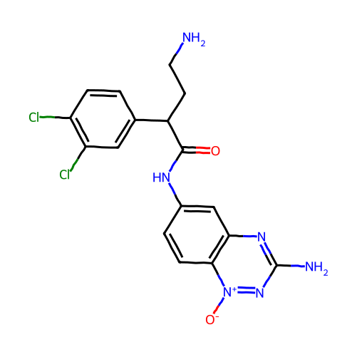 NCCC(C(=O)Nc1ccc2c(c1)nc(N)n[n+]2[O-])c1ccc(Cl)c(Cl)c1